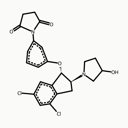 O=C1CCC(=O)N1c1cccc(O[C@H]2c3cc(Cl)cc(Cl)c3C[C@@H]2N2CCC(O)C2)c1